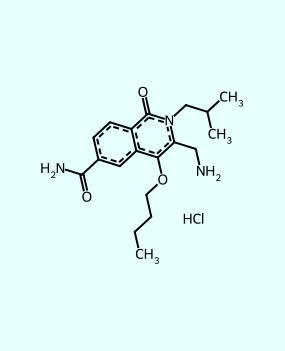 CCCCOc1c(CN)n(CC(C)C)c(=O)c2ccc(C(N)=O)cc12.Cl